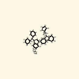 C1=CC(C(c2ccccc2)c2ccccc2)c2ccccc21.C1=CC[C]([Zr+2][CH]2c3ccccc3-c3ccccc32)=C1.[Cl-].[Cl-]